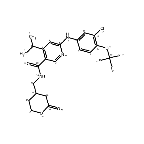 CC(C)c1cc(Nc2ccc(OC(F)(F)F)c(Cl)c2)ncc1C(=O)NCC1CCOC(=O)C1